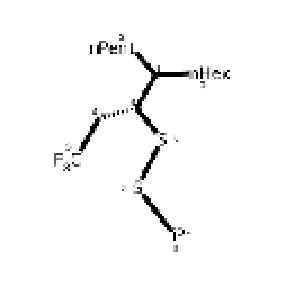 CCCCCCC(CCCCC)[C@@H](CC(F)(F)F)SSC(C)C